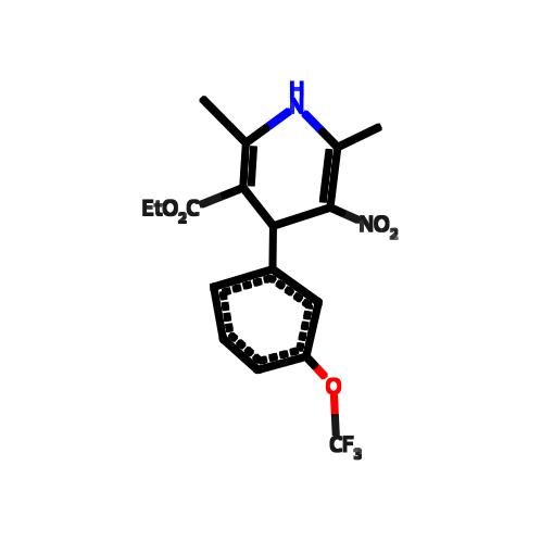 CCOC(=O)C1=C(C)NC(C)=C([N+](=O)[O-])C1c1cccc(OC(F)(F)F)c1